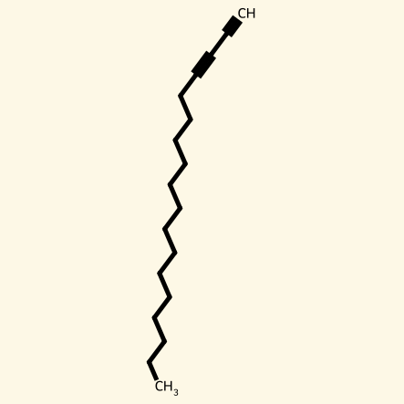 C#CC#CCCCCCCCCCCCCCC